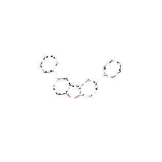 Cc1ccc(-c2ccc3oc4ccc(-c5ccccc5)cc4c3c2)cc1